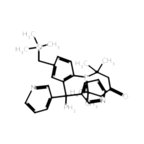 CC1(C)CC(=O)CC(C)(C)P1c1ccc(C[Si](C)(C)C)cc1C(P)(c1cccnc1)c1cccnc1